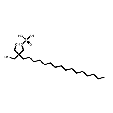 CCCCCCCCCCCCCCCCC(CO)(CO)COP(=O)(O)S